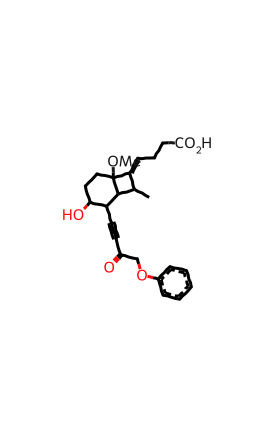 COC12CCC(O)C(C#CC(=O)COc3ccccc3)C1C(C)C2=CCCC(=O)O